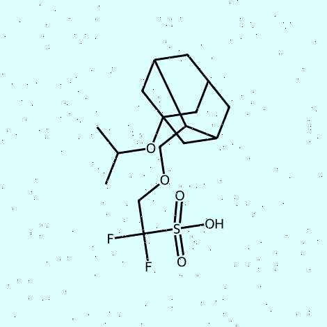 CC(C)OC12CC3CC(C1)C(COCC(F)(F)S(=O)(=O)O)C(C3)C2